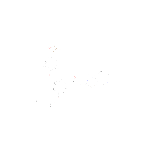 COCC(C)Oc1cc(Oc2ccc(S(C)(=O)=O)cc2)cc(C(=O)Nc2nc3c(s2)CN(C(C)=O)CC3)c1